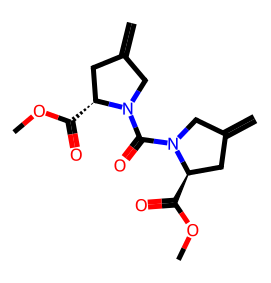 C=C1C[C@@H](C(=O)OC)N(C(=O)N2CC(=C)C[C@H]2C(=O)OC)C1